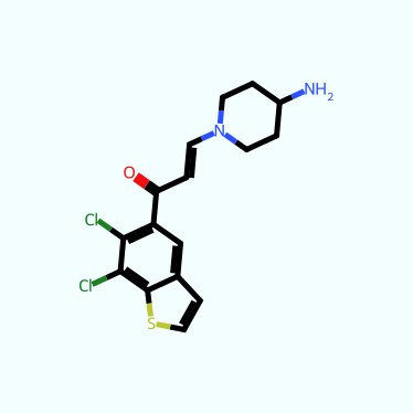 NC1CCN(C=CC(=O)c2cc3ccsc3c(Cl)c2Cl)CC1